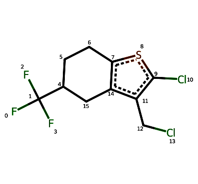 FC(F)(F)C1CCc2sc(Cl)c(CCl)c2C1